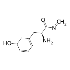 C=NC(=O)[C@@H](N)CC1=CC=CC(O)C1